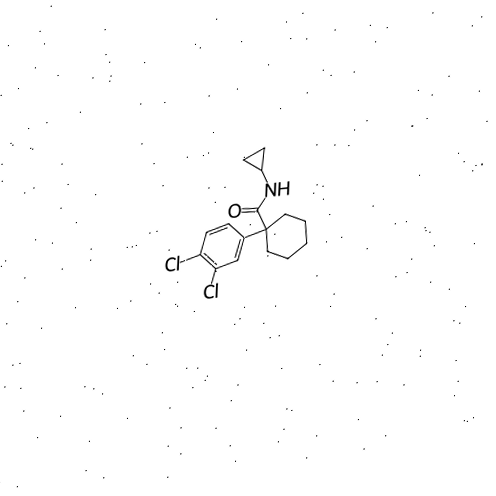 O=C(NC1CC1)C1(c2ccc(Cl)c(Cl)c2)CCCCC1